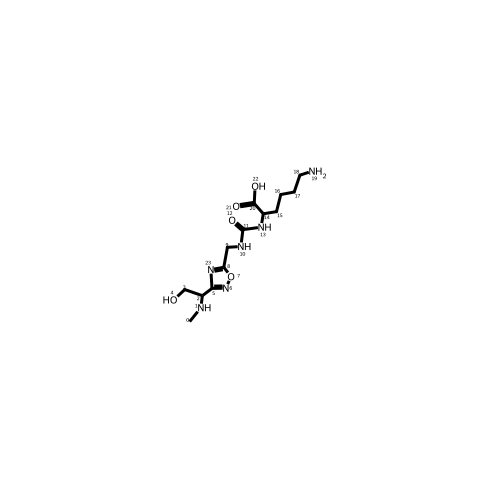 CNC(CO)c1noc(CNC(=O)NC(CCCCN)C(=O)O)n1